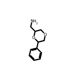 NCC1COCC(c2ccccc2)O1